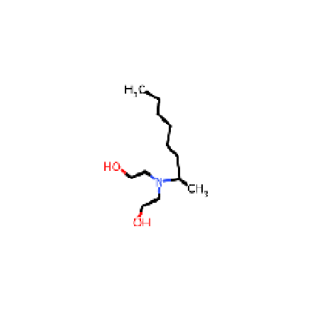 CCCCCCC(C)N(CCO)CCO